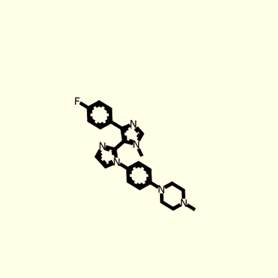 CN1CCN(c2ccc(-n3ccnc3-c3c(-c4ccc(F)cc4)ncn3C)cc2)CC1